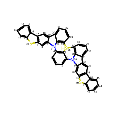 c1cc2c3c(c1)-n1c4cc5sc6ccccc6c5cc4c4cccc(c41)[SH]3c1cccc3c4cc5c(cc4n-2c13)sc1ccccc15